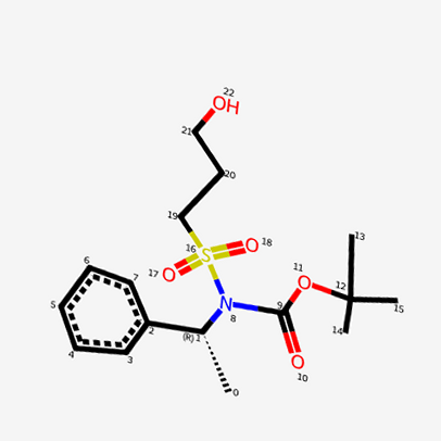 C[C@H](c1ccccc1)N(C(=O)OC(C)(C)C)S(=O)(=O)CCCO